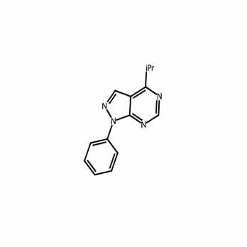 CC(C)c1ncnc2c1cnn2-c1ccccc1